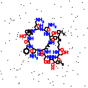 CCCCCCCC(=O)N[C@@H](CO)C(=O)N[C@H](C(=O)NC(CO)C(=O)N[C@H]1CCNC(=O)[C@H]([C@@H](C)O)NC(=O)[C@H](CCN)NC(=O)[C@H](CCCN)NC(=O)[C@H]([C@@H](C)O)NC(=O)[C@@H](Cc2ccccc2)NC(=O)[C@H](CCN)NC1=O)[C@@H](C)O